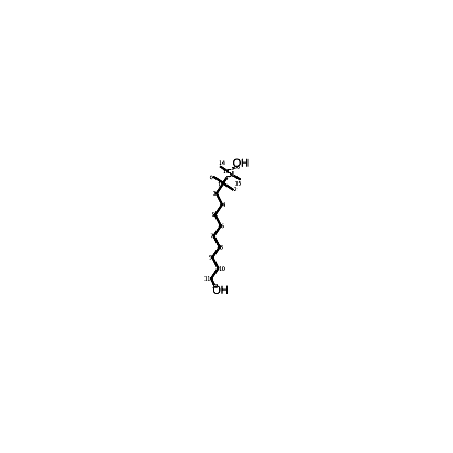 CC(C)(CCCCCCCCCO)[Si](C)(C)O